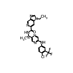 CCn1cnc2cnc(C(=O)N[C@H](C)c3cnc(Nc4ccc(Cl)c(C(F)(F)F)c4)cn3)cc21